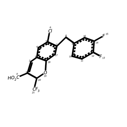 O=C(O)C1=Cc2cc(Cl)c(Cc3ccc(F)c(F)c3)cc2OC1C(F)(F)F